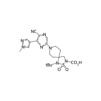 Cn1cc(-c2nc(N3CCC4(CC3)CN(C(=O)O)S(=O)(=O)N4C(C)(C)C)cnc2C#N)cn1